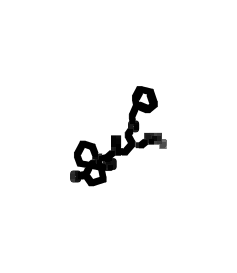 NC[C@H](CNC(=O)N1CCCCC12C(=O)CCC2=O)COCc1ccccc1